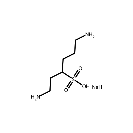 NCCCC(CCN)S(=O)(=O)O.[NaH]